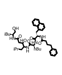 CCCC[C@H](NC(=O)[C@H](Cc1cccc2ccccc12)NC(=O)CCCc1ccccc1)C(=O)NC(CC(C)C)C(O)CC(=O)N[C@H](CO)C(C)CC